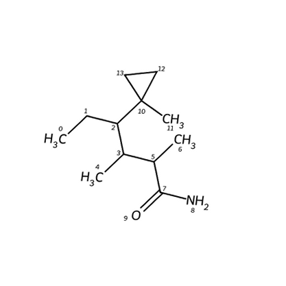 CCC(C(C)C(C)C(N)=O)C1(C)CC1